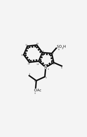 CC(=O)OC(C)Cn1c(C)c(S(=O)(=O)O)c2ccccc21